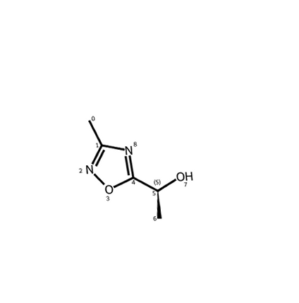 Cc1noc([C@H](C)O)n1